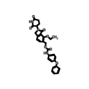 CCOc1c(COC(=O)Nc2ccc(Oc3ccccc3)cc2)ccc2c1C(=O)N(C1CCC(=O)NC1=O)C2